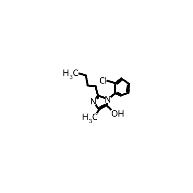 CCCCc1nc(C)c(O)n1-c1ccccc1Cl